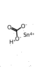 O=C([O-])[O-].[H+].[Sn+4]